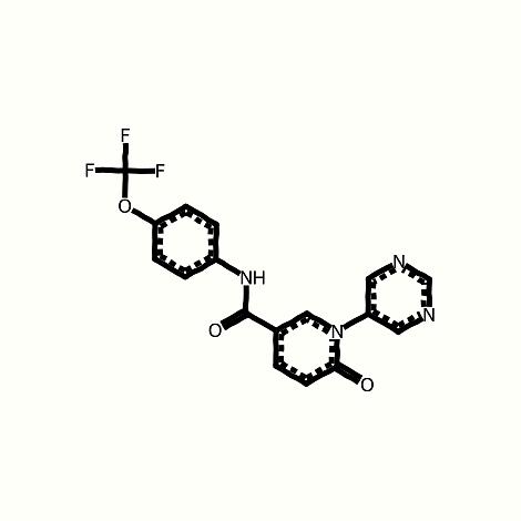 O=C(Nc1ccc(OC(F)(F)F)cc1)c1ccc(=O)n(-c2cncnc2)c1